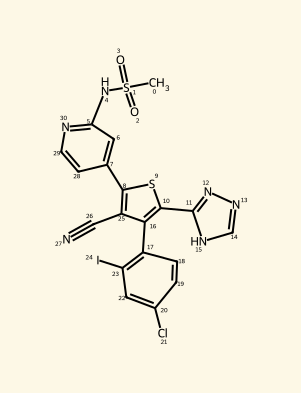 CS(=O)(=O)Nc1cc(-c2sc(-c3nnc[nH]3)c(-c3ccc(Cl)cc3I)c2C#N)ccn1